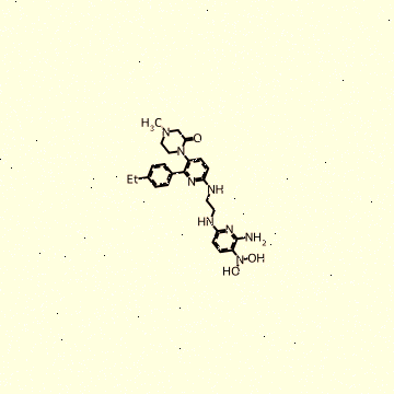 CCc1ccc(-c2nc(NCCNc3ccc(N(O)O)c(N)n3)ccc2N2CCN(C)CC2=O)cc1